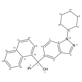 CC(C)C(O)(c1ccc2c(cnn2C2CCCCC2)c1)c1cccc2ccccc12